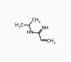 C=CC(=N)NC(C)C